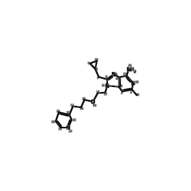 Cc1cc2c(nc(CC3CC3)n2CCOCCCc2cccnc2)c(N)n1